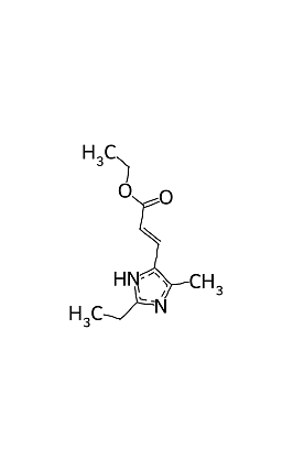 CCOC(=O)/C=C/c1[nH]c(CC)nc1C